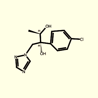 C[C@@H](O)[C@](O)(Cn1cncn1)c1ccc(Cl)cc1